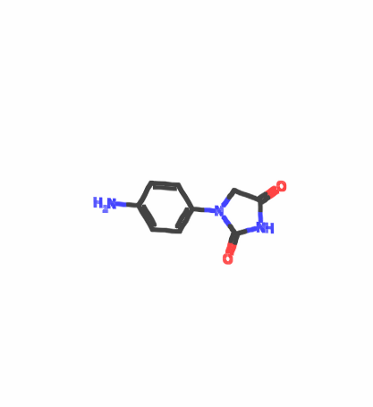 Nc1ccc(N2CC(=O)NC2=O)cc1